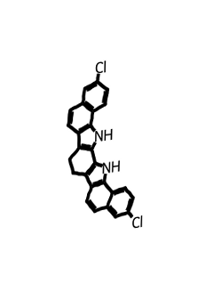 Clc1ccc2c(ccc3c4c([nH]c32)-c2[nH]c3c(ccc5cc(Cl)ccc53)c2CC4)c1